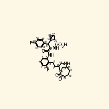 O=C(O)N[C@H](C(=O)Nc1cccc(F)c1CCC1CNC2CCCS(=O)(=O)N1C2)[C@@H](c1ccc(F)cc1)C12CC(C1)C2